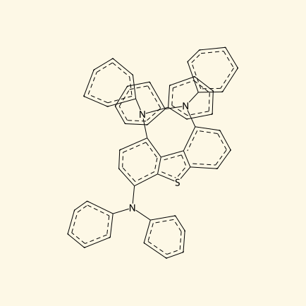 c1ccc(N(c2ccccc2)c2ccc(N(c3ccccc3)c3ccccc3)c3c2sc2cccc(N(c4ccccc4)c4ccccc4)c23)cc1